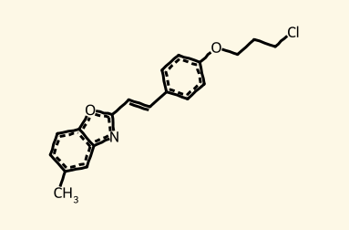 Cc1ccc2oc(C=Cc3ccc(OCCCCl)cc3)nc2c1